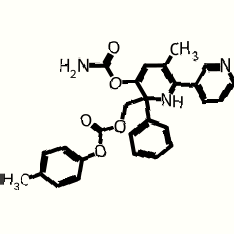 CC1=C(c2cccnc2)NC(COC(=O)Oc2ccc(C)cc2)(c2ccccc2)C(OC(N)=O)=C1